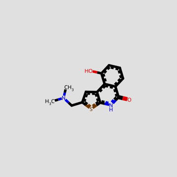 CN(C)Cc1cc2c([nH]c(=O)c3cccc(O)c32)s1